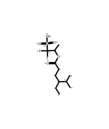 CCC(CCC(=O)OC(C)C(F)(F)S(=O)(=O)O)C(C)C